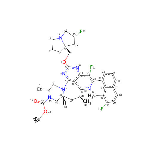 CC[C@@H]1CN2c3nc(OC[C@@]45CCCN4C[C@H](F)C5)nc4c(F)c(-c5cccc6ccc(F)c(C)c56)nc(c34)[C@@H](C)C[C@@H]2CN1C(=O)OC(C)(C)C